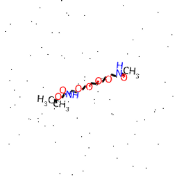 CC(=O)NCCOCCOCCOCCOCCNC(=O)COC(C)C